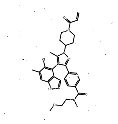 C=CC(=O)N1CCC(n2nc(-c3ccc(C(=O)N(C)CCOC)cc3)c(-c3c(Cl)c(C)cc4[nH]ncc34)c2C)CC1